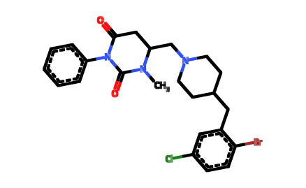 CN1C(=O)N(c2ccccc2)C(=O)CC1CN1CCC(Cc2cc(Cl)ccc2Br)CC1